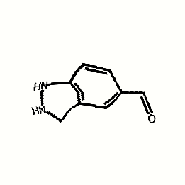 O=Cc1ccc2c(c1)CNN2